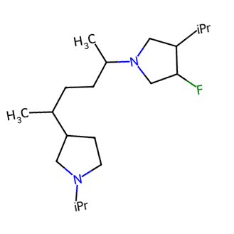 CC(C)C1CN(C(C)CCC(C)C2CCN(C(C)C)C2)CC1F